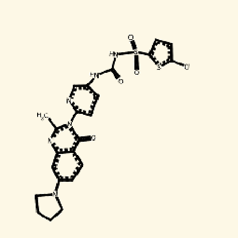 Cc1nc2cc(N3CCCC3)ccc2c(=O)n1-c1ccc(NC(=O)NS(=O)(=O)c2ccc(Cl)s2)cn1